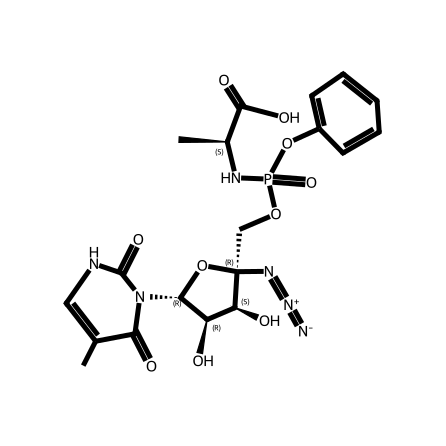 Cc1c[nH]c(=O)n([C@@H]2O[C@@](COP(=O)(N[C@@H](C)C(=O)O)Oc3ccccc3)(N=[N+]=[N-])[C@@H](O)[C@H]2O)c1=O